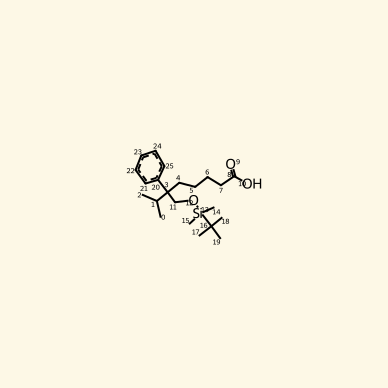 CC(C)C(CCCCC(=O)O)(CO[Si](C)(C)C(C)(C)C)c1ccccc1